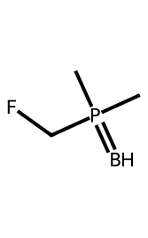 B=P(C)(C)CF